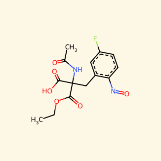 CCOC(=O)C(Cc1cc(F)ccc1N=O)(NC(C)=O)C(=O)O